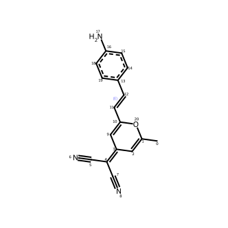 CC1=CC(=C(C#N)C#N)C=C(/C=C/c2ccc(N)cc2)O1